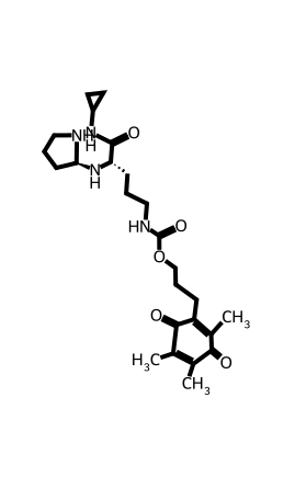 CC1=C(C)C(=O)C(CCCOC(=O)NCCC[C@H](N[C@H]2CCCN2)C(=O)NC2CC2)=C(C)C1=O